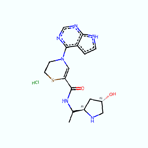 CC(NC(=O)C1=CN(c2ncnc3[nH]ccc23)CCS1)[C@H]1C[C@H](O)CN1.Cl